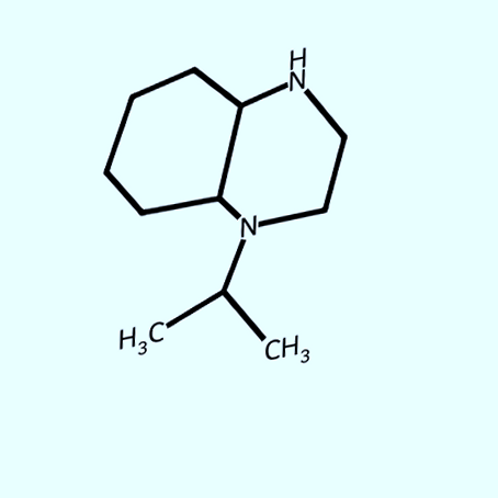 CC(C)N1CCNC2CCCCC21